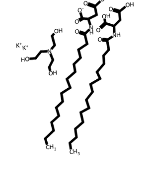 CCCCCCCCCCCCCCCC(=O)NC(CC(=O)O)C(=O)O.CCCCCCCCCCCCCCCC(=O)NC(CC(=O)[O-])C(=O)[O-].OCCN(CCO)CCO.[K+].[K+]